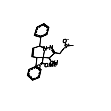 COC(=O)C12C(O)C(C[S+](C)[O-])=NN1C(c1ccccc1)C=CC2c1ccccc1